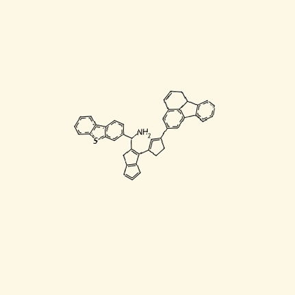 NC(C1=C(C2=C=C(c3cc4c5c(c3)-c3ccccc3C5CC=C4)CC2)C2=C(C=C=C2)C1)c1ccc2c(c1)sc1ccccc12